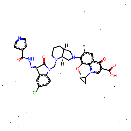 COc1c(N2C[C@@H]3CCCN(CN4C(=O)/C(=N\NC(=O)c5ccncc5)c5cc(Cl)ccc54)[C@@H]3C2)c(F)cc2c(=O)c(C(=O)O)cn(C3CC3)c12